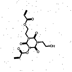 C=CC(=O)OCCn1c(=O)n(CCO)c(=O)n(OC(=O)C=C)c1=O